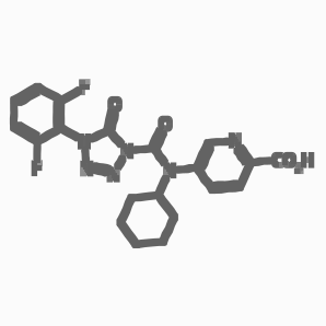 O=C(O)c1ccc(N(C(=O)n2nnn(-c3c(F)cccc3F)c2=O)C2CCCCC2)cn1